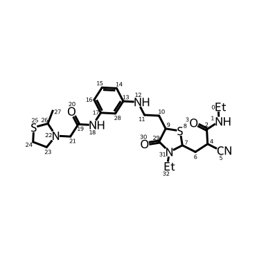 CCNC(=O)C(C#N)CC1SC(CCNc2cccc(NC(=O)CN3CCSC3C)c2)C(=O)N1CC